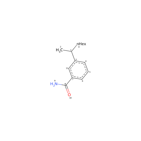 CCCCCCC(C)c1cccc(C(N)=O)c1